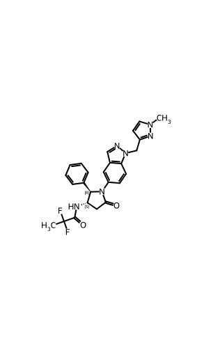 Cn1ccc(Cn2ncc3cc(N4C(=O)C[C@H](NC(=O)C(C)(F)F)[C@H]4c4ccccc4)ccc32)n1